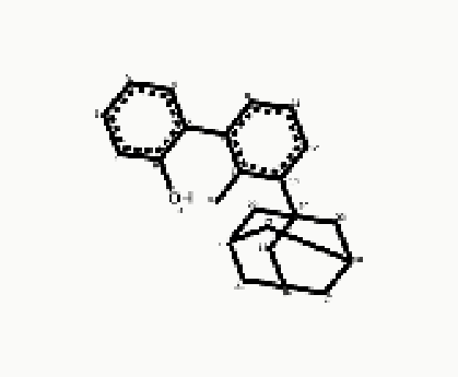 Cc1c(-c2ccccc2O)cccc1C12CC3CC(CC(C3)C1)C2